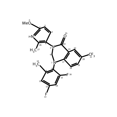 COc1ccc(N2CN(c3c(C)cc(F)cc3F)c3ccc(C(F)(F)F)cc3C2=O)c(C)n1